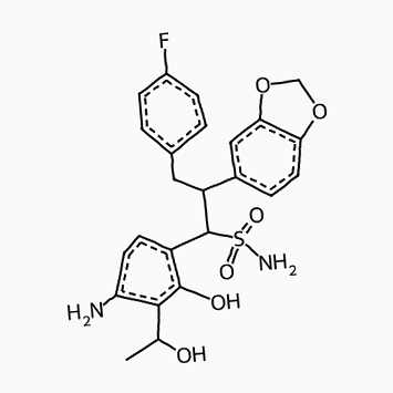 CC(O)c1c(N)ccc(C(C(Cc2ccc(F)cc2)c2ccc3c(c2)OCO3)S(N)(=O)=O)c1O